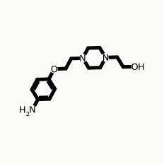 Nc1ccc(OCCN2CCN(CCO)CC2)cc1